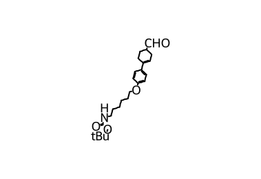 CC(C)(C)OC(=O)NCCCCCCOc1ccc(C2=CCC(C=O)CC2)cc1